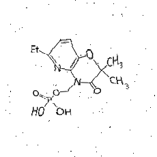 CCc1ccc2c(n1)N(COP(=O)(O)O)C(=O)C(C)(C)O2